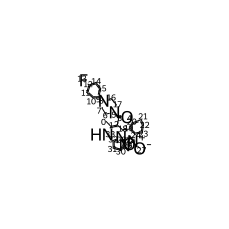 CC1=C(C(=O)N2CCN(c3ccc(F)cc3)CC2)C(c2ccccc2[N+](=O)[O-])n2nccc2N1